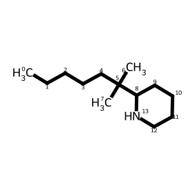 CCCCCC(C)(C)C1CCCCN1